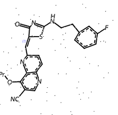 CC(C)Oc1c(C#N)cnc2ccc(/C=C3\SC(NCCc4cccc(F)c4)=NC3=O)nc12